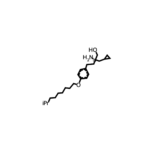 CC(C)CCCCCCCOc1ccc(CC[C@@](N)(CO)CC2CC2)cc1